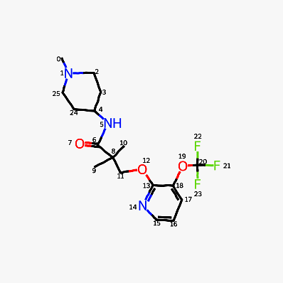 CN1CCC(NC(=O)C(C)(C)COc2ncccc2OC(F)(F)F)CC1